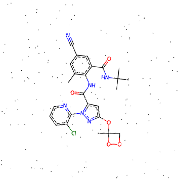 Cc1cc(C#N)cc(C(=O)NC(C)(C)C)c1NC(=O)c1cc(OC2(C)COO2)nn1-c1ncccc1Cl